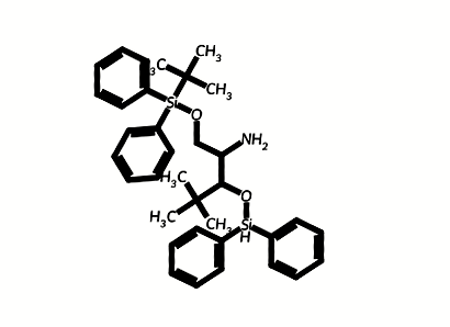 CC(C)(C)C(O[SiH](c1ccccc1)c1ccccc1)C(N)CO[Si](c1ccccc1)(c1ccccc1)C(C)(C)C